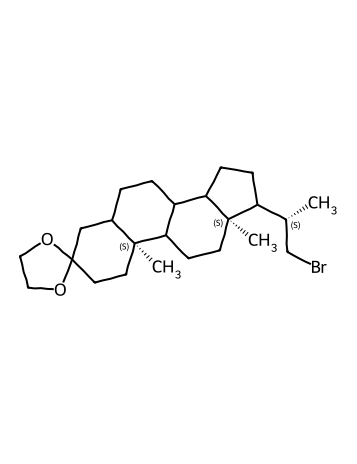 C[C@H](CBr)C1CCC2C3CCC4CC5(CC[C@]4(C)C3CC[C@@]21C)OCCO5